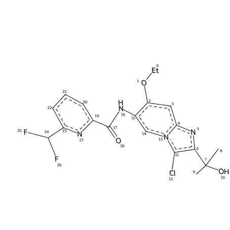 CCOc1cc2nc(C(C)(C)O)c(Cl)n2cc1NC(=O)c1cccc(C(F)F)n1